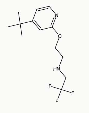 CC(C)(C)c1ccnc(OCCNCC(F)(F)F)c1